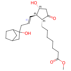 COC(=O)CCCCCC[C@H]1C(=O)C[C@@H](O)[C@@H]1/C=C/CC1(O)CC2CCC1C2